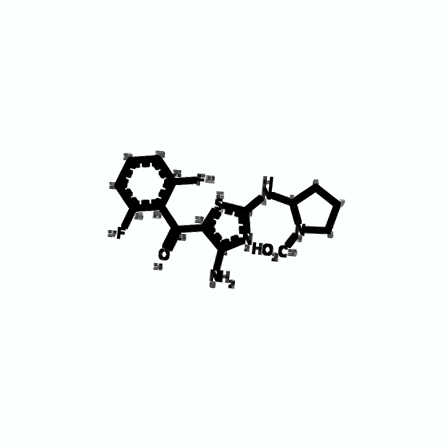 Nc1nc(NC2CCCN2C(=O)O)sc1C(=O)c1c(F)cccc1F